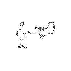 Nc1ccc(Cl)c(C=Cc2nc3ccccc3[nH]2)c1